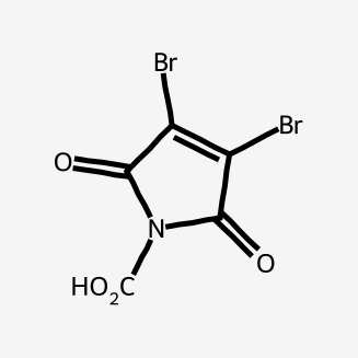 O=C(O)N1C(=O)C(Br)=C(Br)C1=O